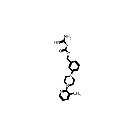 Cc1cccnc1N1CCN(c2cccc(COC(=O)NC(=N)N)c2)CC1